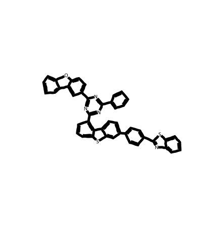 c1ccc(-c2nc(-c3ccc4oc5ccccc5c4c3)nc(-c3cccc4sc5cc(-c6ccc(-c7nc8ccccc8s7)cc6)ccc5c34)n2)cc1